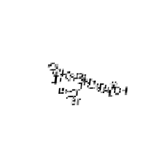 CCC(C(=O)O)N1CCN(C2CCN(C(=O)C(CC(=O)N3CCC(N4Cc5ccccc5NC4=O)CC3)Cc3cc(Br)c(C)c(Br)c3)CC2)CC1